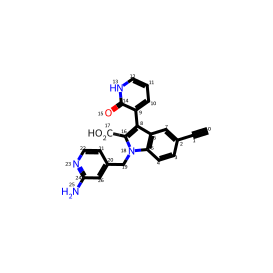 C#Cc1ccc2c(c1)c(-c1ccc[nH]c1=O)c(C(=O)O)n2Cc1ccnc(N)c1